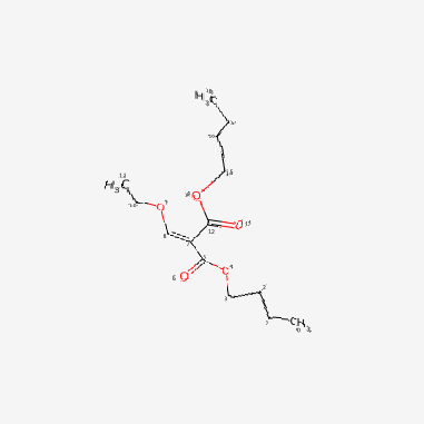 CCCCOC(=O)C(=COCC)C(=O)OCCCC